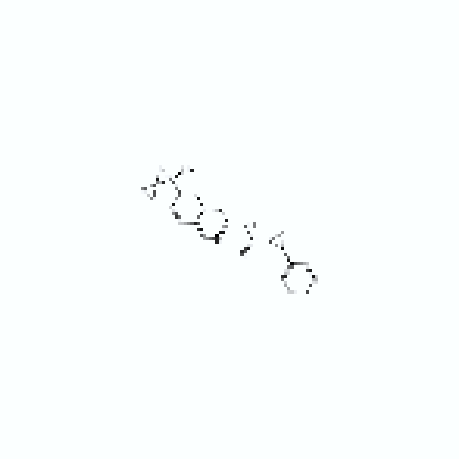 N#C[C@]1(c2ccc3cnc(NC(=O)[C@@H]4C[C@H]4c4cccnc4)cc3c2)CC12CC2